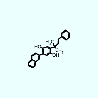 CC(C)(CCc1ccccc1)c1cc(O)c(-c2ccc3ccccc3c2)cc1O